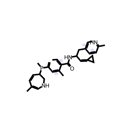 C=C(/C=C(C)\C(=C/C)C(=O)NC(C=C1CC1)CC(/C=C\C(C)=N)=C/C)P(C)C1C=CC(C)=CNC1